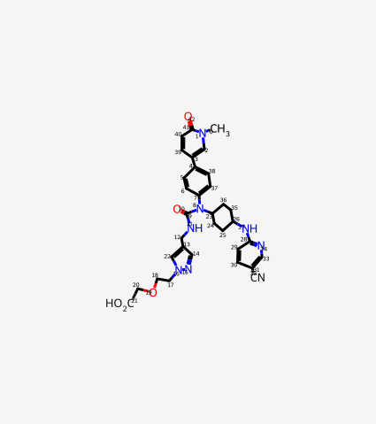 Cn1cc(-c2ccc(N(C(=O)NCc3cnn(CCOCC(=O)O)c3)C3CCC(Nc4ccc(C#N)cn4)CC3)cc2)ccc1=O